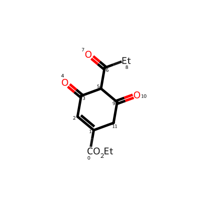 CCOC(=O)C1=CC(=O)C(C(=O)CC)C(=O)C1